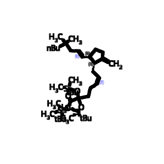 C=C1CC[C@H](/C=C/CC(C)(C)CCCC)[C@H]1C/C=C\CCC(O[Si](C)(C)C(C)(C)C)(O[Si](C)(C)C(C)(C)C)C(=O)O[Si](C)(C)C(C)(C)C